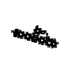 Cc1cc(C[C@@H](OC(=O)N2CCC(N3CCc4ccccc4NC3=O)CC2)C(=O)N2CCN(C3CCN(S(C)(=O)=O)CC3)CC2)cc(C(F)(F)F)c1